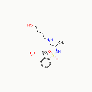 CC(CNCCCCO)NS(=O)(=O)c1ccccc1[N+](=O)[O-].O